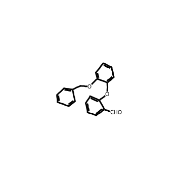 O=Cc1ccccc1Oc1ccccc1OCc1ccccc1